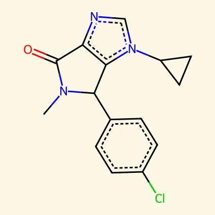 CN1C(=O)c2ncn(C3CC3)c2C1c1ccc(Cl)cc1